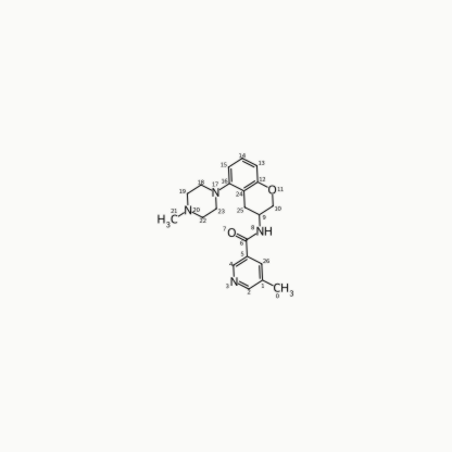 Cc1cncc(C(=O)NC2COc3cccc(N4CCN(C)CC4)c3C2)c1